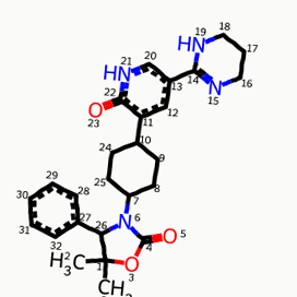 CC1(C)OC(=O)N(C2CCC(c3cc(C4=NCCCN4)c[nH]c3=O)CC2)C1c1ccccc1